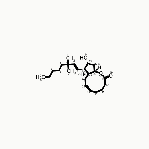 CCCCCC(C)(C)/C=C/[C@@H]1[C@H]2C/C=C\CCCC(=O)O[C@H]2C[C@H]1O